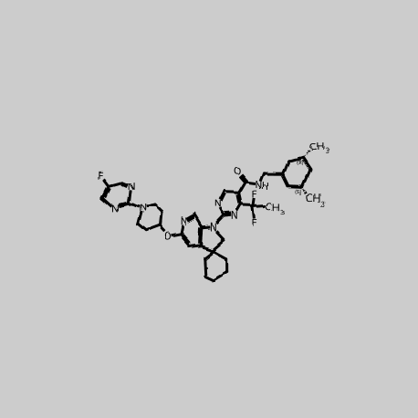 C[C@@H]1CC(CNC(=O)c2cnc(N3CC4(CCCCC4)c4cc(OC5CCN(c6ncc(F)cn6)CC5)ncc43)nc2C(C)(F)F)C[C@H](C)C1